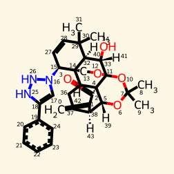 C=C1C(=O)[C@@]23[C@@H]4OC(C)(C)OC25OC[C@]2([C@@H](N6C=C(c7ccccc7)NN6)C=CC(C)(C)[C@H]2[C@@H]5O)[C@@H]3CC[C@@H]14